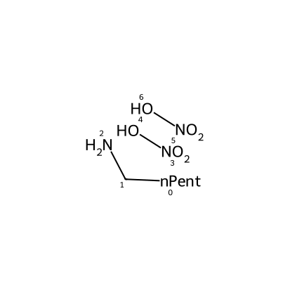 CCCCCCN.O=[N+]([O-])O.O=[N+]([O-])O